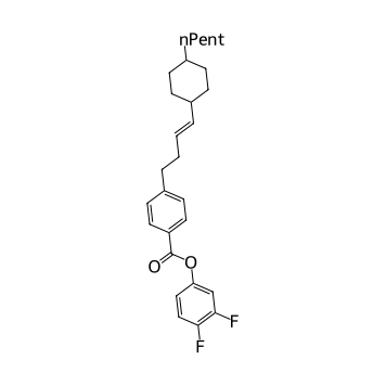 CCCCCC1CCC(C=CCCc2ccc(C(=O)Oc3ccc(F)c(F)c3)cc2)CC1